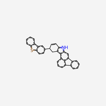 C1=CC(c2ccc3sc4ccccc4c3c2)Cc2c1[nH]c1cc3c4c(cccc4c21)-c1ccccc1-3